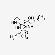 CC[C@H](C)[C@H](NC(=O)[C@@H]1CCCN1)C(=O)[Se]N[C@@H](CCSC)C(=O)O